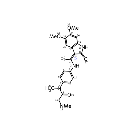 CC/C(Nc1ccc(N(C)C(=O)CNC)cc1)=C1/C(=O)Nc2cc(OC)c(OC)cc21